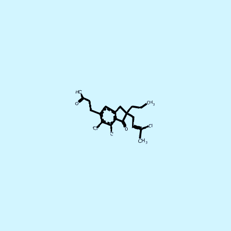 CCCC1(CC=C(C)Cl)Cc2cc(CCC(=O)O)c(Cl)c(Cl)c2C1=O